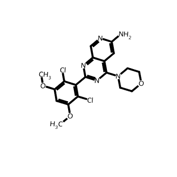 COc1cc(OC)c(Cl)c(-c2nc(N3CCOCC3)c3cc(N)ncc3n2)c1Cl